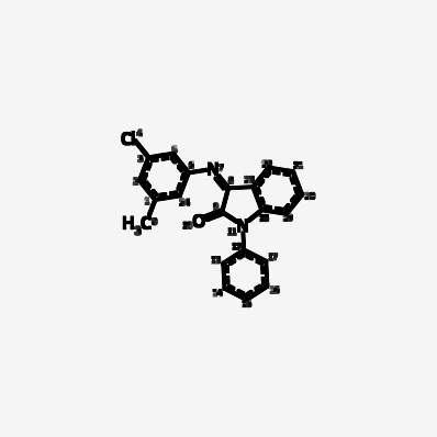 Cc1cc(Cl)cc(N=C2C(=O)N(c3ccccc3)c3ccccc32)c1